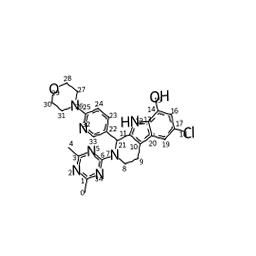 Cc1nc(C)nc(N2CCc3c([nH]c4c(O)cc(Cl)cc34)C2c2ccc(N3CCOCC3)nc2)n1